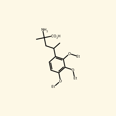 CCOc1ccc(C(C)CC(C)(N)C(=O)O)c(OCC)c1OCC